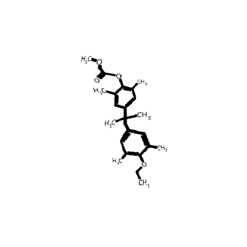 CCOc1c(C)cc(C(C)(C)c2cc(C)c(OC(=O)OC)c(C)c2)cc1C